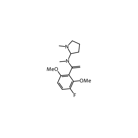 C=C(c1c(OC)ccc(F)c1OC)N(C)C1CCCN1C